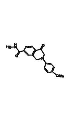 COc1ccc(N2CC(=O)c3ccc(C(=O)NO)cc3C2)cc1